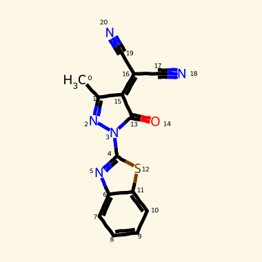 CC1=NN(c2nc3ccccc3s2)C(=O)C1=C(C#N)C#N